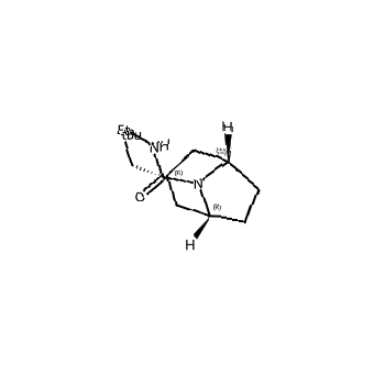 CCNC(=O)N1[C@@H]2CC[C@H]1C[C@@H](CC(C)(C)C)C2